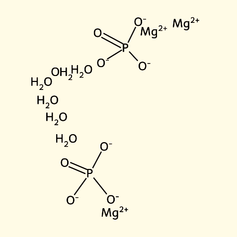 O.O.O.O.O.O.O=P([O-])([O-])[O-].O=P([O-])([O-])[O-].[Mg+2].[Mg+2].[Mg+2]